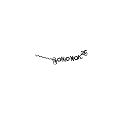 C=CC(=O)OCCN(CC)c1ccc(N=Nc2ccc(N=Nc3ccc(C(=O)OCCCCCCCCCCCC)cc3)cc2)cc1